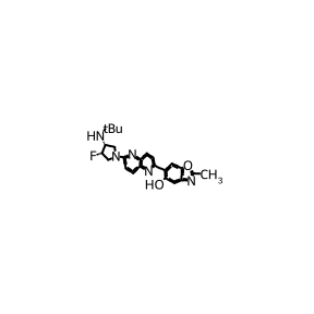 Cc1nc2cc(O)c(-c3ccc4nc(N5C[C@@H](F)[C@H](NC(C)(C)C)C5)ccc4n3)cc2o1